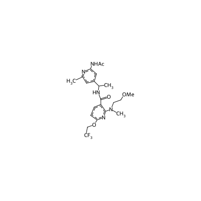 COCCN(C)c1nc(OCC(F)(F)F)ccc1C(=O)NC(C)c1cc(C)nc(NC(C)=O)c1